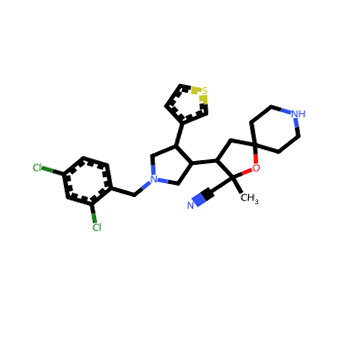 CC1(C#N)OC2(CCNCC2)CC1C1CN(Cc2ccc(Cl)cc2Cl)CC1c1ccsc1